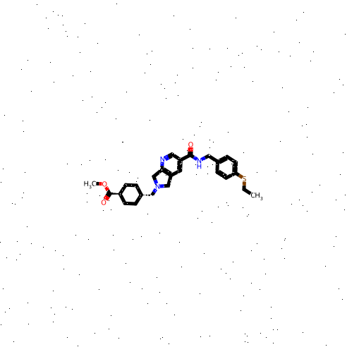 CCSc1ccc(CNC(=O)c2cnc3c(c2)CN(C[C@H]2CC[C@H](C(=O)OC)CC2)C3)cc1